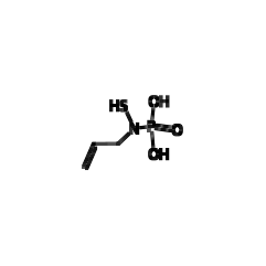 C=CCN(S)P(=O)(O)O